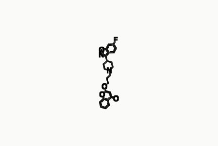 O=c1cc(OCCCN2CCC(c3noc4cc(F)ccc34)CC2)oc2ccccc12